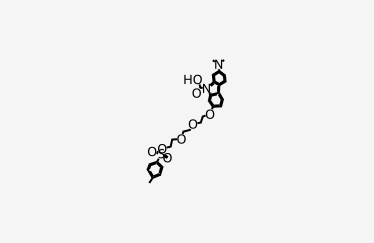 Cc1ccc(S(=O)(=O)OCCOCCOCCOc2ccc3c4ccc(N(C)C)cc4n(C(=O)O)c3c2)cc1